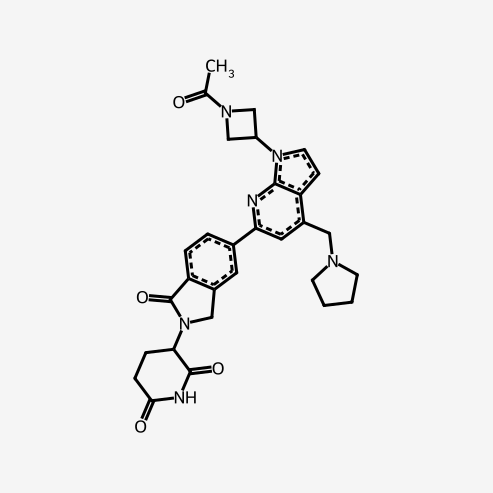 CC(=O)N1CC(n2ccc3c(CN4CCCC4)cc(-c4ccc5c(c4)CN(C4CCC(=O)NC4=O)C5=O)nc32)C1